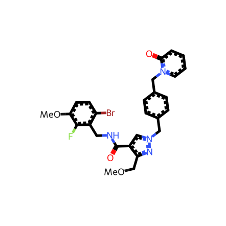 COCc1nn(Cc2ccc(Cn3ccccc3=O)cc2)cc1C(=O)NCc1c(Br)ccc(OC)c1F